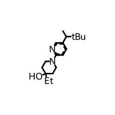 CCC1(O)CCN(c2ccc(C(C)C(C)(C)C)cn2)CC1